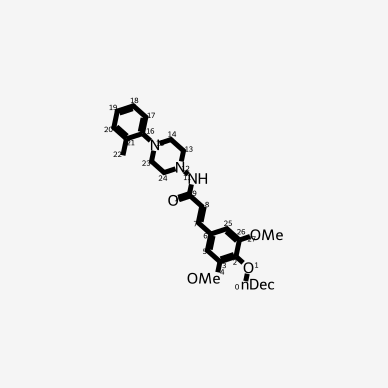 CCCCCCCCCCOc1c(OC)cc(C=CC(=O)NN2CCN(c3ccccc3C)CC2)cc1OC